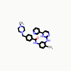 Cc1ccc(NC(=O)c2ccc(CN3CCN(C)CC3)cc2)cc1NC1=NC=CC(c2cccnc2)N1